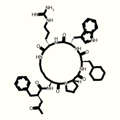 CC(=O)C[C@@H](Cc1ccccc1)C(=O)N[C@H]1CCCNC(=O)[C@H](CCCNC(=N)N)NC(=O)[C@H](Cc2c[nH]c3ccccc23)NC(=O)[C@@H](CC2CCCCC2)NC(=O)[C@@H]2CCCN2C1=O